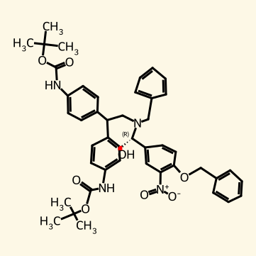 CC(C)(C)OC(=O)Nc1ccc(C(CN(Cc2ccccc2)[C@@H](CO)c2ccc(OCc3ccccc3)c([N+](=O)[O-])c2)c2ccc(NC(=O)OC(C)(C)C)cc2)cc1